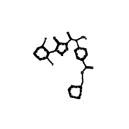 CN(C(=O)n1nnn(-c2c(F)cccc2F)c1=O)c1ccc(C(=O)OCc2ccccc2)cc1